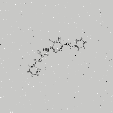 CC(NC(=O)OCc1ccccc1)C(=O)NCC(=O)OCc1ccccc1